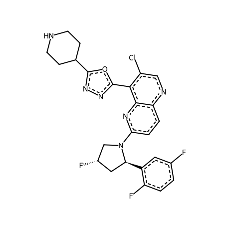 Fc1ccc(F)c([C@H]2C[C@H](F)CN2c2ccc3ncc(Cl)c(-c4nnc(C5CCNCC5)o4)c3n2)c1